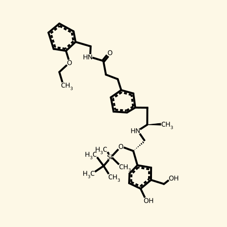 CCOc1ccccc1CNC(=O)CCc1cccc(C[C@@H](C)NC[C@@H](O[Si](C)(C)C(C)(C)C)c2ccc(O)c(CO)c2)c1